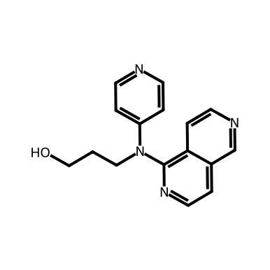 OCCCN(c1ccncc1)c1nccc2cnccc12